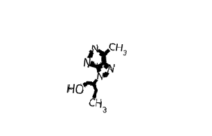 CCC(CO)n1cnc2c(C)ncnc21